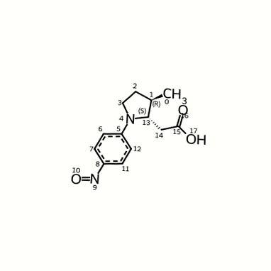 C[C@@H]1CCN(c2ccc(N=O)cc2)[C@H]1CC(=O)O